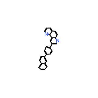 c1ccc2cc(-c3ccc(-c4cnc5ccc6cccnc6c5c4)cc3)ccc2c1